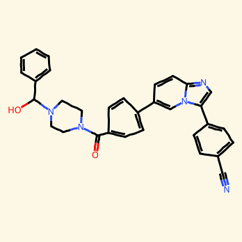 N#Cc1ccc(-c2cnc3ccc(-c4ccc(C(=O)N5CCN(C(O)c6ccccc6)CC5)cc4)cn23)cc1